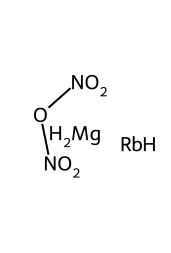 O=[N+]([O-])O[N+](=O)[O-].[MgH2].[RbH]